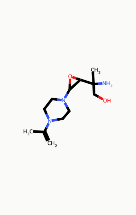 C=C(C)N1CCN(C2OC2C(C)(N)CO)CC1